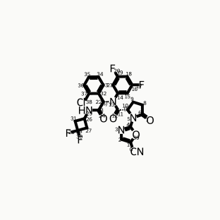 N#Cc1cnc(N2C(=O)CC[C@H]2C(=O)N(c2cc(F)cc(F)c2)[C@H](C(=O)NC2CC(F)(F)C2)c2ccccc2Cl)o1